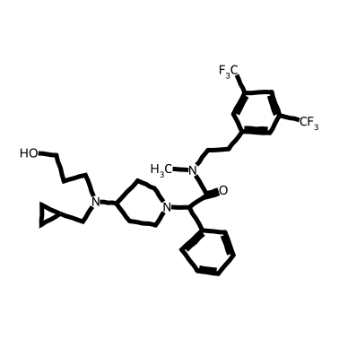 CN(CCc1cc(C(F)(F)F)cc(C(F)(F)F)c1)C(=O)C(c1ccccc1)N1CCC(N(CCCO)CC2CC2)CC1